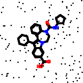 O=C(O)c1ccc2c(C3CCCCC3)c3n(c2c1)CCN(C(=O)NC1CCCC1)c1ccccc1-3